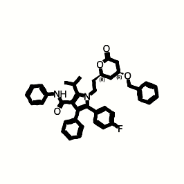 CC(C)c1c(C(=O)Nc2ccccc2)c(-c2ccccc2)c(-c2ccc(F)cc2)n1CC[C@@H]1C[C@@H](OCc2ccccc2)CC(=O)O1